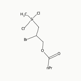 CCCC(=O)OCC(Br)C[Si](C)(Cl)Cl